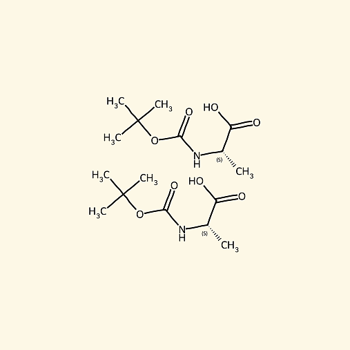 C[C@H](NC(=O)OC(C)(C)C)C(=O)O.C[C@H](NC(=O)OC(C)(C)C)C(=O)O